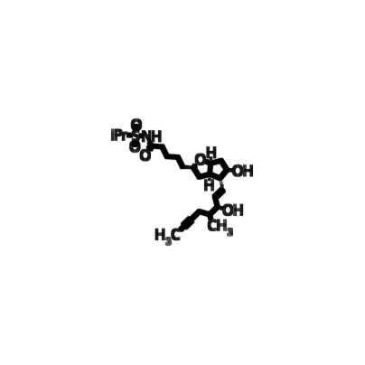 CC#CCC(C)[C@H](O)C=C[C@@H]1[C@H]2C[C@@H](CCCCC(=O)NS(=O)(=O)C(C)C)O[C@H]2C[C@H]1O